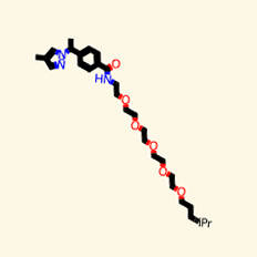 Cc1cnn(C(C)c2ccc(C(=O)NCCOCCOCCOCCOCCOCCCC(C)C)cc2)c1